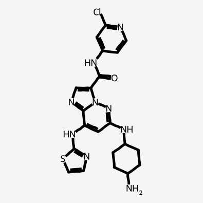 NC1CCC(Nc2cc(Nc3nccs3)c3ncc(C(=O)Nc4ccnc(Cl)c4)n3n2)CC1